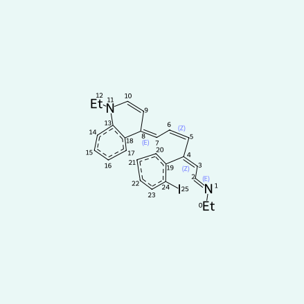 CC/N=C/C=C(/C=C\C=C1/C=CN(CC)c2ccccc21)c1ccccc1I